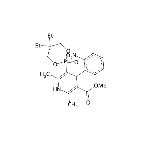 CCC1(CC)COP(=O)(C2=C(C)NC(C)=C(C(=O)OC)C2c2ccccc2[N+](=O)[O-])OC1